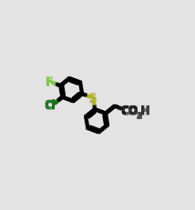 O=C(O)Cc1ccccc1Sc1ccc(F)c(Cl)c1